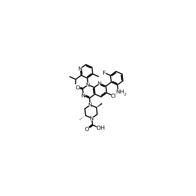 Cc1ccnc(C(C)C)c1-n1c(=O)nc(N2C[C@@H](C)N(C(=O)O)C[C@@H]2C)c2cc(Cl)c(-c3c(N)cccc3F)nc21